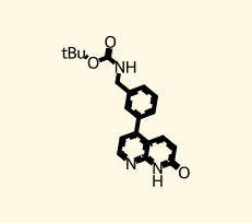 CC(C)(C)OC(=O)NCc1cccc(-c2ccnc3[nH]c(=O)ccc23)c1